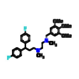 COc1cc(CN(C)CCN(C)CCC(c2ccc(F)cc2)c2ccc(F)cc2)cc(OC)c1OC